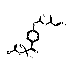 C=CC(=O)OC(C)Oc1ccc(C(=O)C(C)(C)OC(=O)CC)cc1